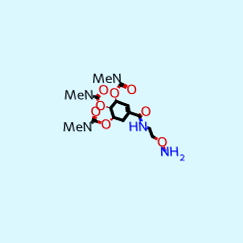 CNC(=O)O[C@@H]1[C@H](OC(=O)NC)C=C(C(=O)NCCON)C[C@H]1OC(=O)NC